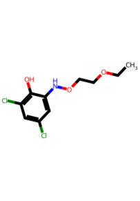 CCOCCONc1cc(Cl)cc(Cl)c1O